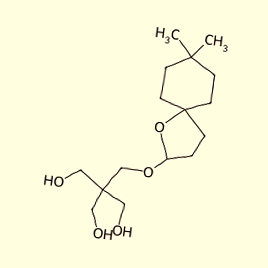 CC1(C)CCC2(CCC(OCC(CO)(CO)CO)O2)CC1